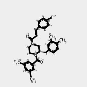 Cc1ccc(C[C@@H]2CN(C(=O)C=Cc3ccc(F)cc3)CCN2C(=O)c2cc(C(F)(F)F)cc(C(F)(F)F)c2)cc1C